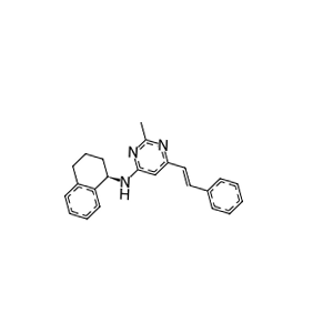 Cc1nc(C=Cc2ccccc2)cc(N[C@@H]2CCCc3ccccc32)n1